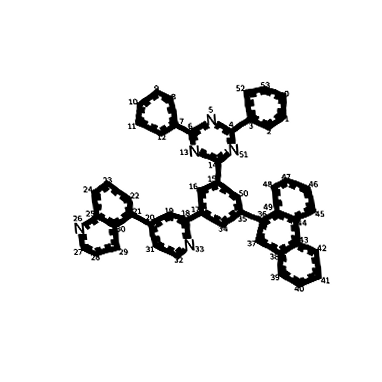 c1ccc(-c2nc(-c3ccccc3)nc(-c3cc(-c4cc(-c5cccc6ncccc56)ccn4)cc(-c4cc5ccccc5c5ccccc45)c3)n2)cc1